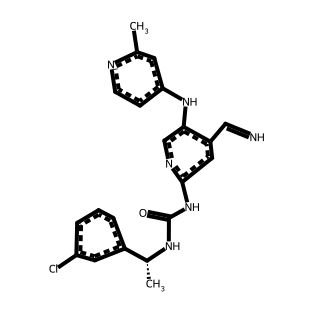 Cc1cc(Nc2cnc(NC(=O)N[C@H](C)c3cccc(Cl)c3)cc2C=N)ccn1